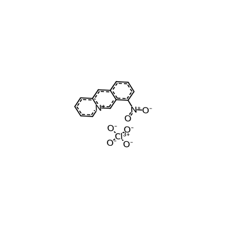 O=[N+]([O-])c1cccc2cc3cccc[n+]3cc12.[O-][Cl+3]([O-])([O-])[O-]